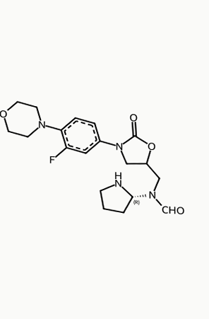 O=CN(CC1CN(c2ccc(N3CCOCC3)c(F)c2)C(=O)O1)[C@@H]1CCCN1